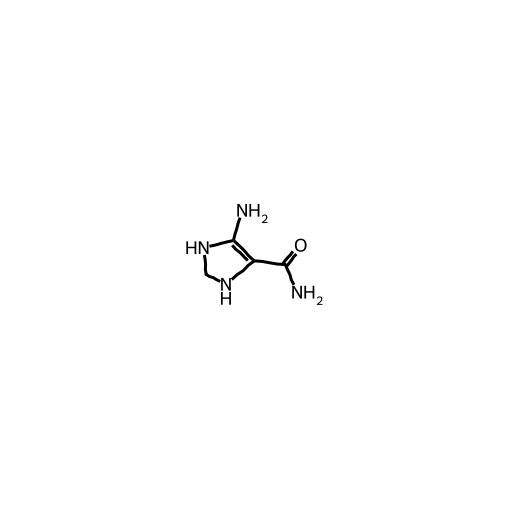 NC(=O)C1=C(N)NCN1